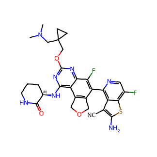 CN(C)CC1(COc2nc(N[C@@H]3CCCNC3=O)c3c4c(c(-c5ncc(F)c6sc(N)c(C#N)c56)c(F)c3n2)COC4)CC1